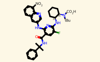 CC(C)(NC(=O)c1cc(F)c(N[C@H]2CCCC[C@H]2N(C(=O)O)C(C)(C)C)nc1Nc1cnc2c([N+](=O)[O-])cccc2c1)c1ccccc1